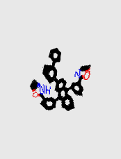 C1=COC(c2cccc(-c3c4ccccc4c(-c4cccc(-c5ncco5)c4)c4ccc(-c5cccc(-c6ccccc6)c5)cc34)c2)N1